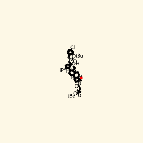 CC(C)C1=C2[C@H]3CC[C@@H]4[C@@]5(C)CC[C@H](OC(=O)CC(C)(C)C(=O)OC(C)(C)C)C(C)(C)[C@@H]5CC[C@@]4(C)[C@]3(C)CC[C@@]2([C@H](O)CN(Cc2ccc(Cl)cc2)C(=O)OC(C)(C)C)CC1